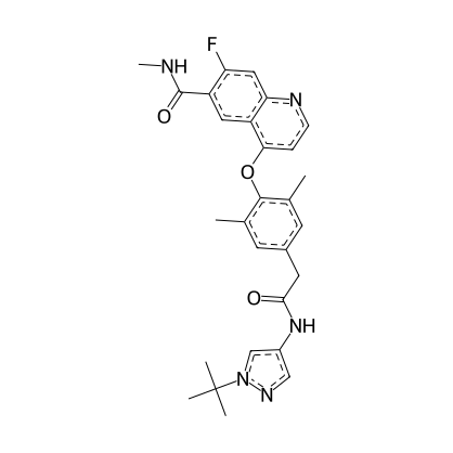 CNC(=O)c1cc2c(Oc3c(C)cc(CC(=O)Nc4cnn(C(C)(C)C)c4)cc3C)ccnc2cc1F